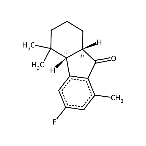 Cc1cc(F)cc2c1C(=O)[C@H]1CCCC(C)(C)[C@@H]21